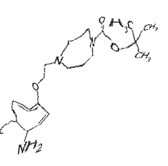 CC1C=C(OCCN2CCN(C(=O)OC(C)(C)C)CC2)C=CC1N